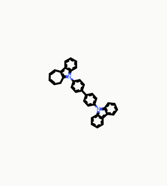 C1=CCc2c(c3ccccc3n2-c2ccc(-c3ccc(-n4c5ccccc5c5ccccc54)cc3)cc2)C=C1